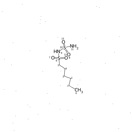 CCCCCCS(=O)(=O)NS(N)(=O)=O